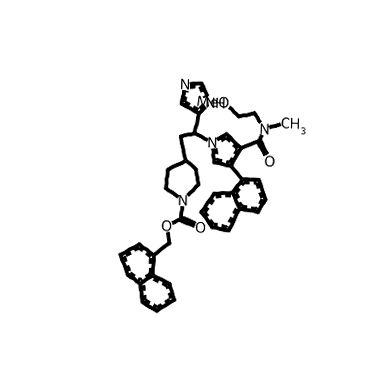 COCCN(C)C(=O)c1cn(C(CC2CCN(C(=O)OCc3cccc4ccccc34)CC2)c2cnc[nH]2)cc1-c1cccc2ccccc12